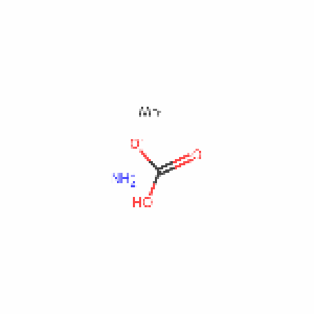 O=C([O-])O.[Mn].[NH4+]